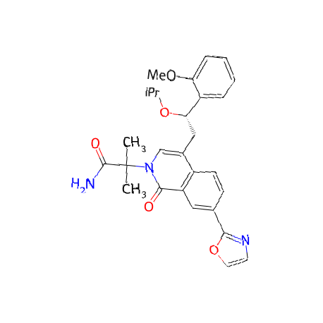 COc1ccccc1[C@H](Cc1cn(C(C)(C)C(N)=O)c(=O)c2cc(-c3ncco3)ccc12)OC(C)C